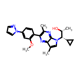 COc1cc(-n2cccn2)ccc1-c1nc2c(C)cn([C@@H](C3CC3)[C@@H](C)O)c2nc1C